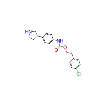 O=C(Nc1ccc([C@H]2CCNC2)cc1)OCCc1ccc(Cl)cc1